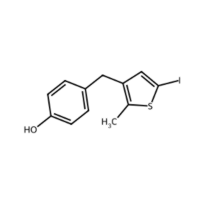 Cc1sc(I)cc1Cc1ccc(O)cc1